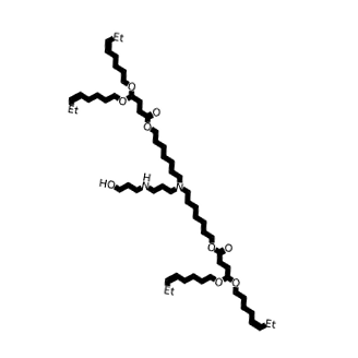 CC/C=C\CCCCOC(CCC(=O)OCCCCCCCN(CCCCCCCOC(=O)CCC(OCCCC/C=C\CC)OCCCC/C=C\CC)CCCNCCCO)OCCCC/C=C\CC